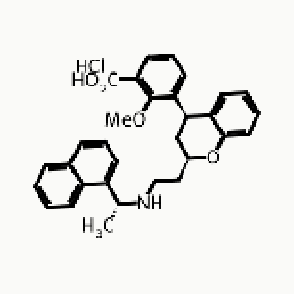 COc1c(C(=O)O)cccc1[C@@H]1C[C@H](CCN[C@H](C)c2cccc3ccccc23)Oc2ccccc21.Cl